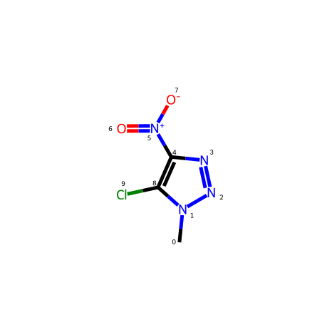 Cn1nnc([N+](=O)[O-])c1Cl